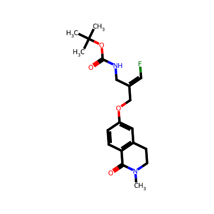 CN1CCc2cc(OC/C(=C/F)CNC(=O)OC(C)(C)C)ccc2C1=O